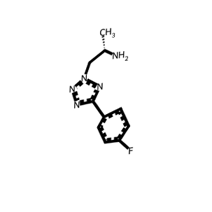 C[C@H](N)Cn1nnc(-c2ccc(F)cc2)n1